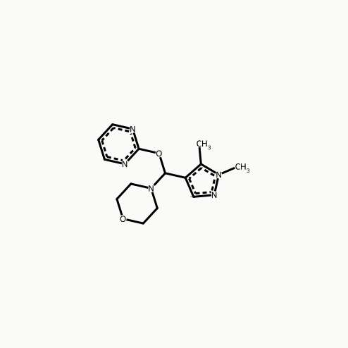 Cc1c(C(Oc2ncccn2)N2CCOCC2)[c]nn1C